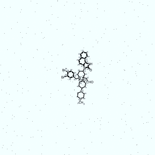 CN1CCN(C2CCN(C3(CC=O)CC(n4c(=O)[nH]c5c6ccccc6ccc54)CC[N@+]3(Cc3ccc(Br)c(Br)c3)C(=O)[O-])CC2)CC1